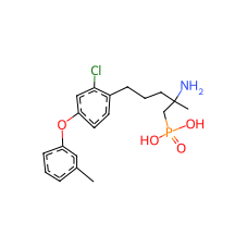 Cc1cccc(Oc2ccc(CCCC(C)(N)CP(=O)(O)O)c(Cl)c2)c1